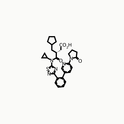 O=C(O)C[C@@H](CC1CCCC1)C(=O)N(c1nc(-c2ccccc2-c2ccc(N3CCCC3=O)nc2)ns1)C1CC1